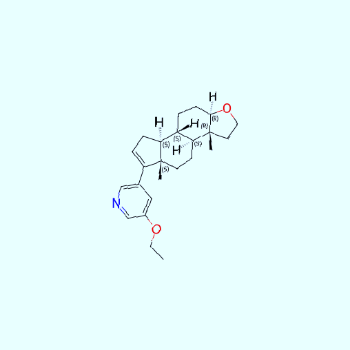 CCOc1cncc(C2=CC[C@H]3[C@@H]4CC[C@H]5OCC[C@]5(C)[C@H]4CC[C@]23C)c1